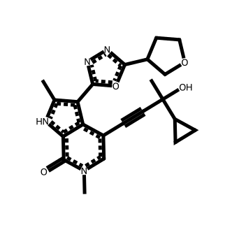 Cc1[nH]c2c(=O)n(C)cc(C#CC(C)(O)C3CC3)c2c1-c1nnc(C2CCOC2)o1